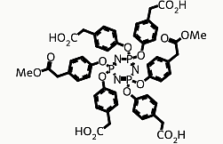 COC(=O)Cc1ccc(OP2(Oc3ccc(CC(=O)O)cc3)=NP(Oc3ccc(CC(=O)O)cc3)(Oc3ccc(CC(=O)O)cc3)=NP(Oc3ccc(CC(=O)O)cc3)(Oc3ccc(CC(=O)OC)cc3)=N2)cc1